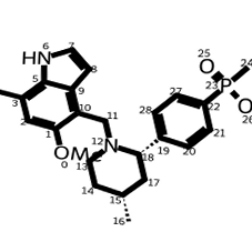 COc1cc(C)c2[nH]ccc2c1CN1CC[C@@H](C)C[C@H]1c1ccc(P(C)(=O)O)cc1